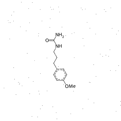 COc1ccc(CCCNC(N)=O)cc1